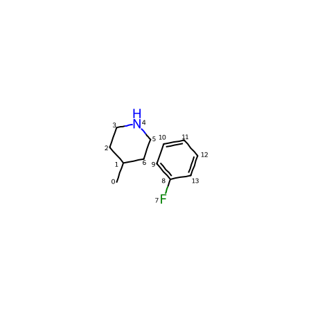 CC1CCNCC1.Fc1ccccc1